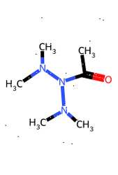 CC(=O)N(N(C)C)N(C)C